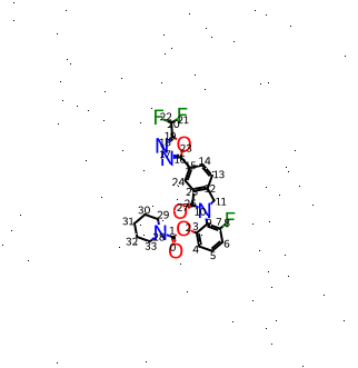 O=C(Oc1cccc(F)c1N1Cc2ccc(-c3nnc(C(F)F)o3)cc2C1=O)N1CCCCC1